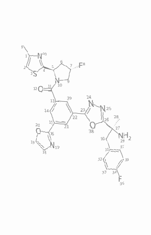 Cc1csc([C@H]2C[C@H](F)CN2C(=O)c2cc(-c3ncco3)cc(-c3nnc([C@@](C)(N)Cc4ccc(F)cc4)o3)c2)n1